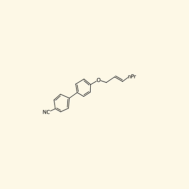 CCCC=CCOc1ccc(-c2ccc(C#N)cc2)cc1